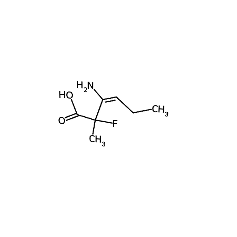 CC/C=C(/N)C(C)(F)C(=O)O